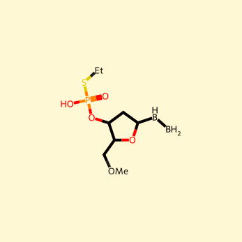 BBC1CC(OP(=O)(O)SCC)C(COC)O1